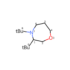 CC(C)(C)C1COCCCN1C(C)(C)C